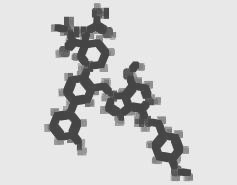 CNC(=O)C1(NC(=O)O)CCCN(c2ccc(-c3cccc(F)c3)cc2Cn2cnc3c(NCc4ccc(OC)cc4)ncc(OC)c32)C1